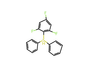 Fc1cc(F)c([SH](c2ccccc2)c2ccccc2)c(F)c1